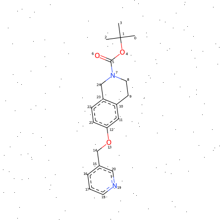 CC(C)(C)OC(=O)N1CCc2cc(OCc3cccnc3)ccc2C1